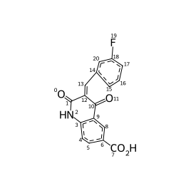 O=C1Nc2ccc(C(=O)O)cc2C(=O)/C1=C\c1cccc(F)c1